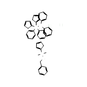 C1=CC[C]([Ti]([C]2=CC=CC2)([c]2ccccc2)([c]2ccccc2)[SiH](c2ccccc2)c2ccccc2)=C1.Cl.Cl.[CH3][Ti]([CH3])([SiH2]Cc1ccccc1)[C]1=CC=CC1